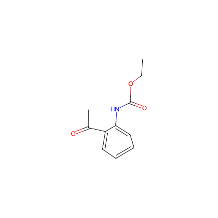 CCOC(=O)Nc1ccccc1C(C)=O